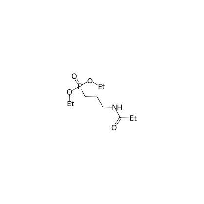 CCOP(=O)(CCCNC(=O)CC)OCC